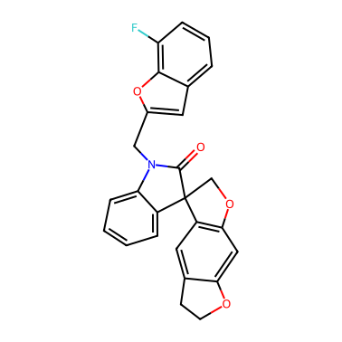 O=C1N(Cc2cc3cccc(F)c3o2)c2ccccc2C12COc1cc3c(cc12)CCO3